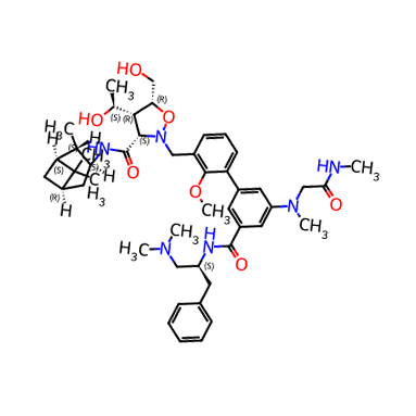 CNC(=O)CN(C)c1cc(C(=O)N[C@@H](Cc2ccccc2)CN(C)C)cc(-c2cccc(CN3O[C@@H](CO)[C@@H]([C@H](C)O)[C@H]3C(=O)N[C@H]3C[C@H]4C[C@@H]([C@@H]3C)C4(C)C)c2OC)c1